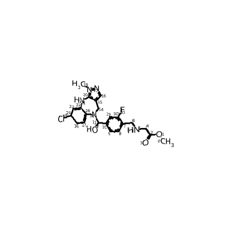 COC(=O)CNCc1ccc(C(O)N2Cc3cnn(C)c3NC3=CC(Cl)CC=C32)cc1F